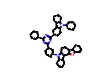 c1ccc(-c2nc(-c3cccc(-n4c5ccccc5c5c6oc7ccccc7c6ccc54)c3)nc(-c3ccc4c(c3)c3ccccc3n4-c3ccccc3)n2)cc1